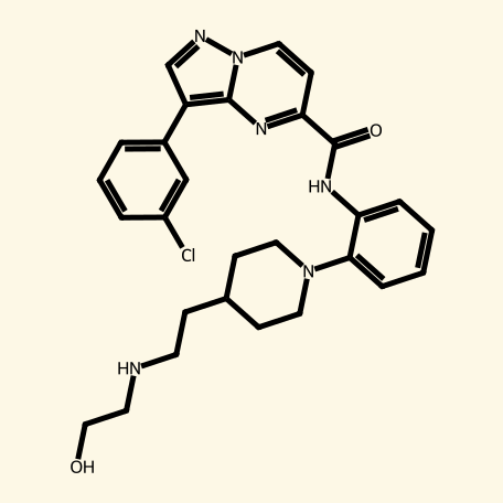 O=C(Nc1ccccc1N1CCC(CCNCCO)CC1)c1ccn2ncc(-c3cccc(Cl)c3)c2n1